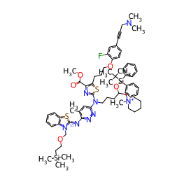 COC(=O)c1nc(N(CCCC(C[N+]2(C)CCCCC2)O[Si](c2ccccc2)(c2ccccc2)C(C)(C)C)c2cc(C)c(/N=c3\sc4ccccc4n3COCC[Si](C)(C)C)nn2)sc1CCCOc1ccc(C#CCN(C)C)cc1F